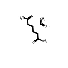 C=CC.NC(=O)CCCCC(N)=O